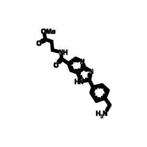 COC(=O)CCNC(=O)c1cnc2nc(-c3ccc(CN)cc3)[nH]c2c1